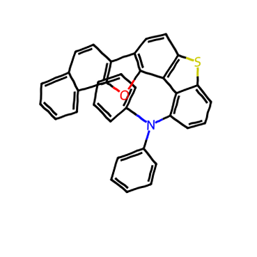 c1ccc(N(c2ccccc2)c2cccc3sc4ccc5c6ccc7ccccc7c6oc5c4c23)cc1